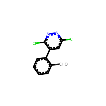 O=Cc1ccccc1-c1cc(Cl)nnc1Cl